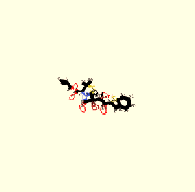 C=CCOC(=O)[C@@H]1N2C(=O)[C@@](Br)(C(O)C(=O)c3cc4ccccc4s3)[C@H]2SC1(C)C